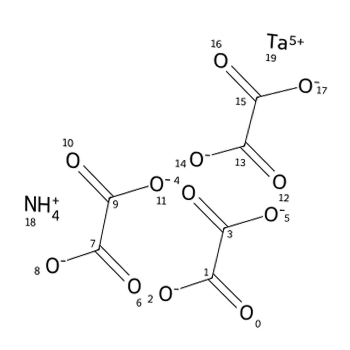 O=C([O-])C(=O)[O-].O=C([O-])C(=O)[O-].O=C([O-])C(=O)[O-].[NH4+].[Ta+5]